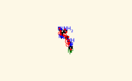 Cn1cc(-c2oc3ncnc(Oc4ccc(NC(=O)c5cn(C)n(-c6ccc(C(F)(F)F)cc6)c5=O)cc4)c3c2-c2cccc(N)c2)cn1